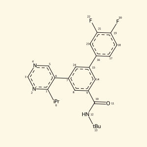 CC(C)c1ncncc1-c1cc(C(=O)NC(C)(C)C)cc(-c2ccc(F)c(F)c2)c1